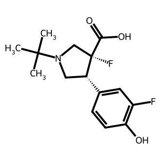 CC(C)(C)N1C[C@@H](c2ccc(O)c(F)c2)[C@](F)(C(=O)O)C1